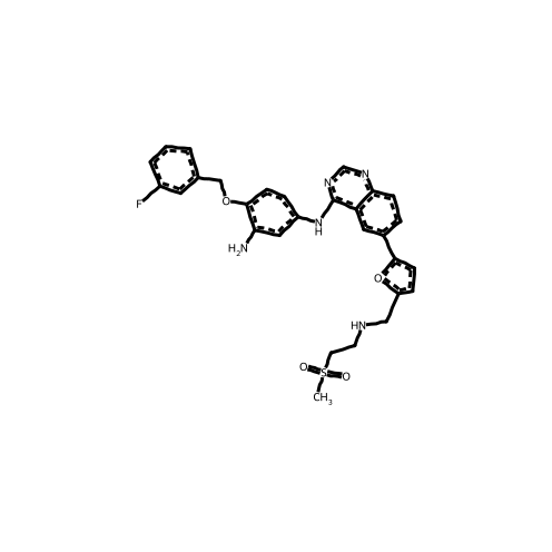 CS(=O)(=O)CCNCc1ccc(-c2ccc3ncnc(Nc4ccc(OCc5cccc(F)c5)c(N)c4)c3c2)o1